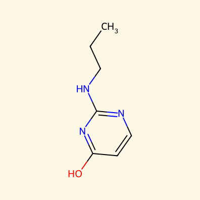 CCCNc1nccc(O)n1